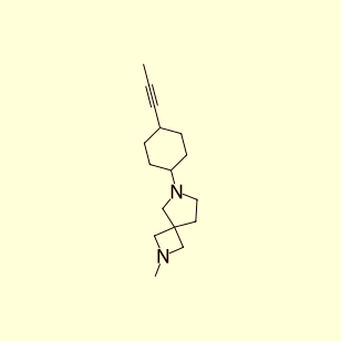 CC#CC1CCC(N2CCC3(CN(C)C3)C2)CC1